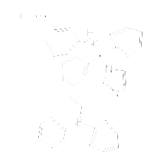 C=CB(c1ccccc1)c1ccccc1.CCCCCCc1cccc([SiH2]C(c2ccccc2)(c2ccccc2)n2ccnc2)c1